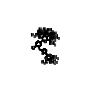 CC[C@H]1O[C@@H](c2ccc(Cl)c(Cc3ccc(B4OC(C)(C)C(C)(C)O4)s3)c2)[C@H](O[Si](C)(C)C)[C@@H](O[Si](C)(C)C)[C@@H]1O[Si](C)(C)C